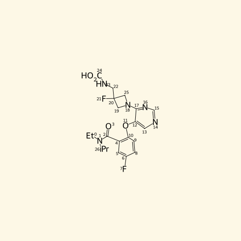 CCN(C(=O)c1cc(F)ccc1Oc1cncnc1N1CC(F)(CNC(=O)O)C1)C(C)C